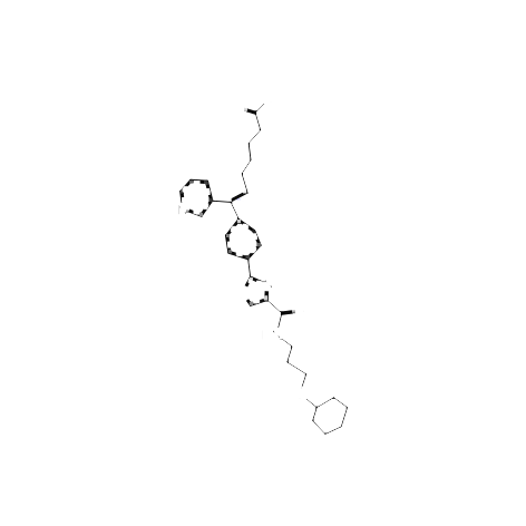 O=C(O)CCCC/C=C(/c1ccc(-c2nc(C(=O)NCCCOC3CCCCC3)co2)cc1)c1cccnc1